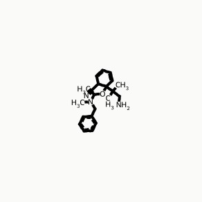 CC(OC1(C(C)(C)CN)C=CC=CC1C#N)N(C)Cc1ccccc1